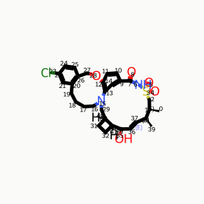 C[C@@H]1CS(=O)(=O)NC(=O)c2ccc3c(c2)N(CCCCc2cc(Cl)ccc2CO3)C[C@@H]2CC[C@H]2[C@H](O)/C=C/[C@@H]1C